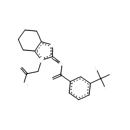 O=C(O)Cn1c2c(sc1=NC(=O)c1cccc(C(F)(F)F)c1)CCCC2